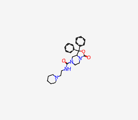 O=C(NCCN1CCCCC1)N1CCN2C(=O)OC(c3ccccc3)(c3ccccc3)C2C1